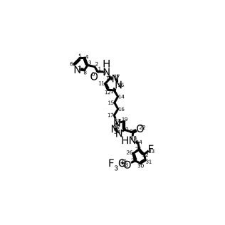 O=C(Cc1cccnc1)Nc1ccc(CCCCn2cc(C(=O)NCc3cc(OC(F)(F)F)ccc3F)nn2)nn1